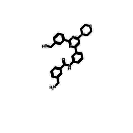 NCc1cccc(C(=O)Nc2cccc(-c3cc(N4CCOCC4)nc(-c4cccc(CO)c4)n3)c2)c1